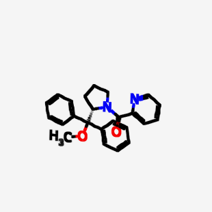 COC(c1ccccc1)(c1ccccc1)[C@@H]1CCCN1C(=O)c1ccccn1